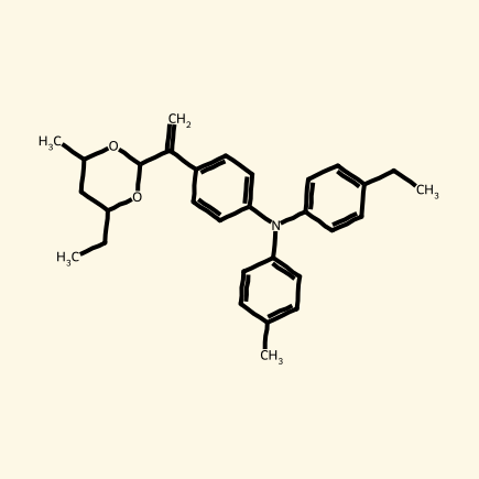 C=C(c1ccc(N(c2ccc(C)cc2)c2ccc(CC)cc2)cc1)C1OC(C)CC(CC)O1